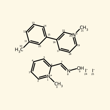 C[n+]1ccccc1C=NO.Cc1cccc(-c2ccc[n+](C)c2)c1.[I-].[I-]